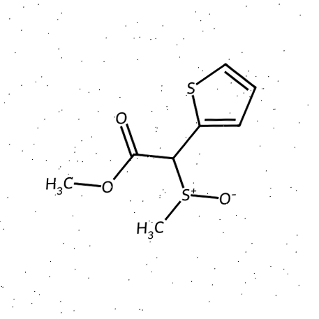 COC(=O)C(c1cccs1)[S+](C)[O-]